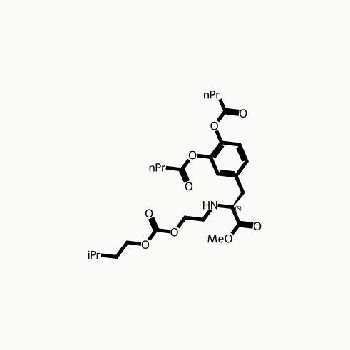 CCCC(=O)Oc1ccc(C[C@H](NCCOC(=O)OCCC(C)C)C(=O)OC)cc1OC(=O)CCC